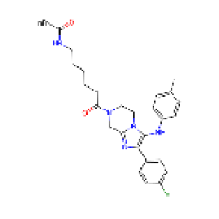 CCCC(=O)NCCCCCC(=O)N1CCn2c(nc(-c3ccc(F)cc3)c2Nc2ccc(C)cc2)C1